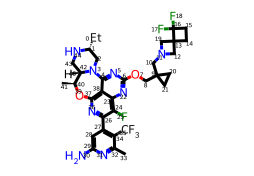 CC[C@@H]1CN2c3nc(OCC4(CN5CC6(CCC6(F)F)C5)CC4)nc4c(F)c(-c5cc(N)nc(C)c5C(F)(F)F)nc(c34)O[C@@H](C)[C@@H]2CN1